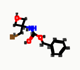 O=C(NC1(CBr)COC1)OCc1ccccc1